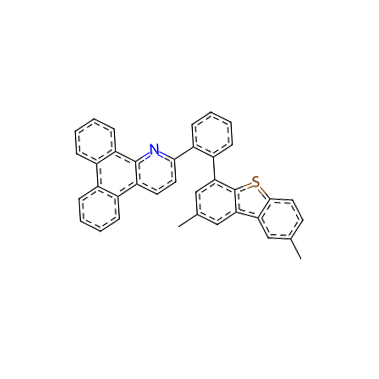 Cc1ccc2sc3c(-c4ccccc4-c4ccc5c6ccccc6c6ccccc6c5n4)cc(C)cc3c2c1